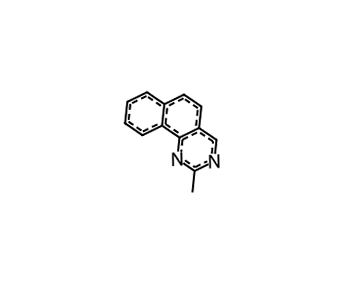 Cc1ncc2ccc3ccccc3c2n1